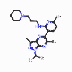 CCc1nc2c(nc1-c1ccc(C(C)C)nc1NCCCN1CCCCC1)c(C)nn2C(CC)CC